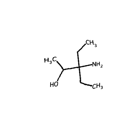 CCC(N)(CC)C(C)O